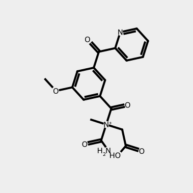 COc1cc(C(=O)c2ccccn2)cc(C(=O)[N+](C)(CC(=O)O)C(N)=O)c1